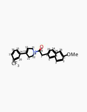 COc1ccc2cc(CC(=O)N3CC=C(c4cccc(C(F)(F)F)c4)CC3)ccc2c1